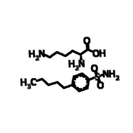 CCCCCc1ccc(S(N)(=O)=O)cc1.NCCCC[C@H](N)C(=O)O